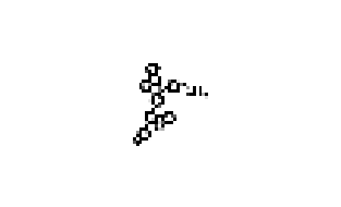 C=Cc1ccc(N(c2ccc(-c3ccc(-c4ccc5c(c4)CC5)c4oc5ccccc5c34)cc2)c2cc3ccccc3c3ccccc23)cc1